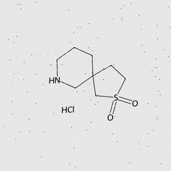 Cl.O=S1(=O)CCC2(CCCNC2)C1